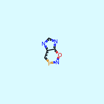 c1nc2cpnoc-2n1